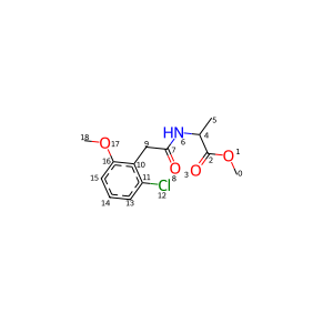 COC(=O)C(C)NC(=O)Cc1c(Cl)cccc1OC